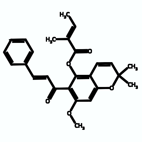 C/C=C(\C)C(=O)Oc1c2c(cc(OC)c1C(=O)/C=C/c1cc[c]cc1)OC(C)(C)C=C2